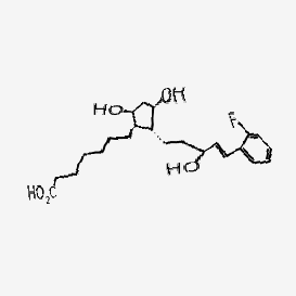 O=C(O)CCCCCC[C@@H]1[C@@H](CCC(O)C=Cc2ccccc2F)[C@H](O)C[C@@H]1O